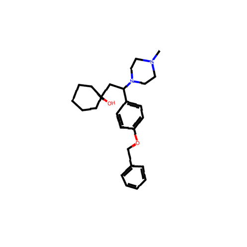 CN1CCN(C(CC2(O)CCCCC2)c2ccc(OCc3ccccc3)cc2)CC1